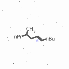 CCCC/C=C/CC(C)CCC